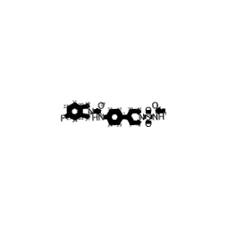 CC(=O)NS(=O)(=O)N1CC=C(c2ccc(NC(=O)N3Cc4ccc(F)cc4C3)cc2)CC1